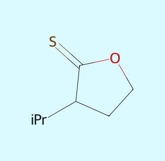 CC(C)C1CCOC1=S